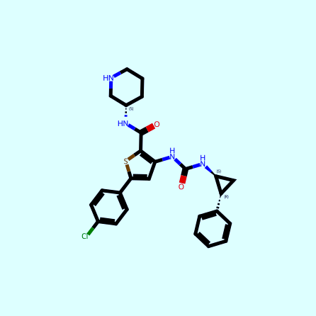 O=C(Nc1cc(-c2ccc(Cl)cc2)sc1C(=O)N[C@H]1CCCNC1)N[C@H]1C[C@@H]1c1ccccc1